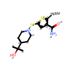 CNc1sc(SN2CCC(C(C)(C)O)CC2)cc1C(N)=O